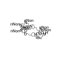 CCCCCCCCCN(CCCCCCCCC)CC(=O)OCCC1CCN(C(=O)O)C(C(C)(C)C)C1.CCCCCCCCCN(CCCCCCCCC)CCN(CCCCCCCCC)CC(=O)N1CCC(CCC(C(=O)O)N(CCCCCCCCC)CCCCCCCCC)CC1